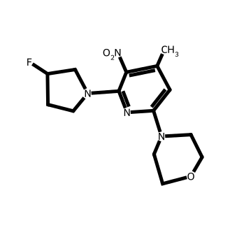 Cc1cc(N2CCOCC2)nc(N2CCC(F)C2)c1[N+](=O)[O-]